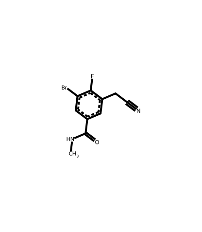 CNC(=O)c1cc(Br)c(F)c(CC#N)c1